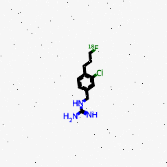 N=C(N)NCc1ccc(CCC[18F])c(Cl)c1